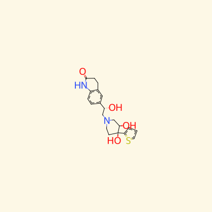 O=C1CCc2cc([C@H](O)CN3CC[C@@](O)(c4cccs4)[C@H](O)C3)ccc2N1